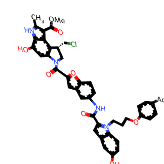 COC(=O)c1c(C)[nH]c2c(O)cc3c(c12)[C@H](CCl)CN3C(=O)c1cc2cc(NC(=O)c3cc4cc(O)ccc4n3CCCOc3ccc(C(C)=O)cc3)ccc2o1